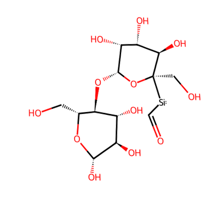 O=C[Si][C@@]1(CO)O[C@H](O[C@H]2[C@H](O)[C@@H](O)[C@H](O)O[C@@H]2CO)[C@H](O)[C@H](O)[C@H]1O